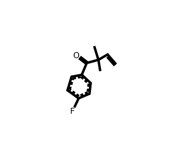 C=CC(C)(C)C(=O)c1ccc(F)cc1